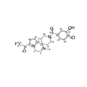 CN1CCn2c(C(=O)C(F)(F)F)ccc2C12CCN(C(=O)c1ccc(Cl)c(O)c1)CC2